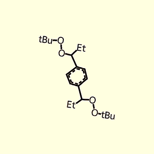 CCC(OOC(C)(C)C)c1ccc(C(CC)OOC(C)(C)C)cc1